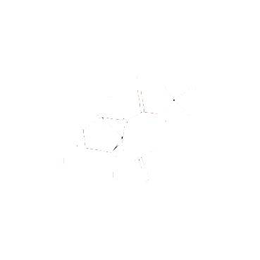 CC(C)(C)OC(=O)N1[C@H]2C[C@H]([C@H](O)C2)[C@H]1C(=O)O